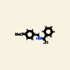 CCC(NCc1ccc(OC)cc1)c1ccccc1